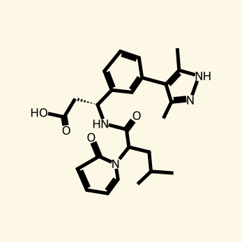 Cc1n[nH]c(C)c1-c1cccc([C@@H](CC(=O)O)NC(=O)C(CC(C)C)n2ccccc2=O)c1